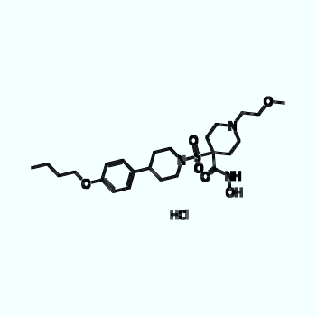 CCCCOc1ccc(C2CCN(S(=O)(=O)C3(C(=O)NO)CCN(CCOC)CC3)CC2)cc1.Cl